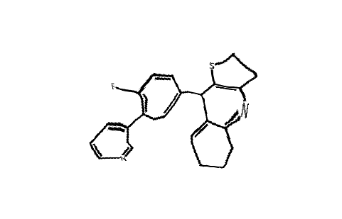 Fc1ccc(C2C3=CCCCC3=NC3=C2SCC3)cc1-c1cccnc1